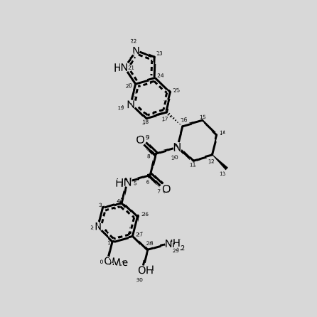 COc1ncc(NC(=O)C(=O)N2C[C@H](C)CC[C@H]2c2cnc3[nH]ncc3c2)cc1C(N)O